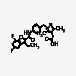 CCc1c(C(=O)Nc2ccc(Cn3nc(C)c(CC(=O)O)c3C)cc2)oc2c(F)cc(F)cc12